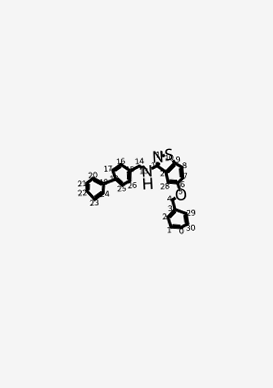 c1ccc(COc2ccc3snc(NCc4ccc(-c5ccccc5)cc4)c3c2)cc1